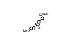 COC(=O)c1cccc(-c2ccc3nc(NCc4ccc(OC)cc4)c(Br)cc3c2)c1